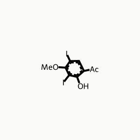 COc1c(I)cc(C(C)=O)c(O)c1I